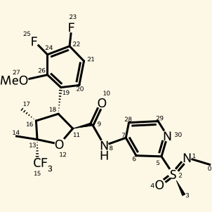 CN=[S@](C)(=O)c1cc(NC(=O)[C@H]2O[C@](C)(C(F)(F)F)[C@H](C)[C@@H]2c2ccc(F)c(F)c2OC)ccn1